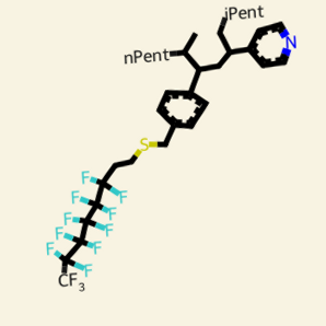 CCCCCC(C)C(CC(CC(C)CCC)c1ccncc1)c1ccc(CSCCC(F)(F)C(F)(F)C(F)(F)C(F)(F)C(F)(F)C(F)(F)F)cc1